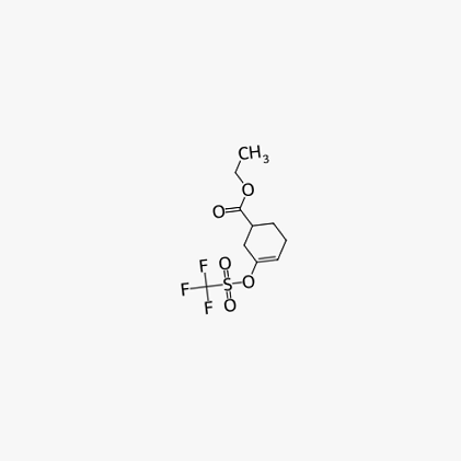 CCOC(=O)C1CCC=C(OS(=O)(=O)C(F)(F)F)C1